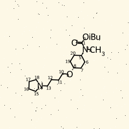 CC(C)COC(=O)N(C)[C@H]1CC[C@H](OCCCCN2CCCC2)CC1